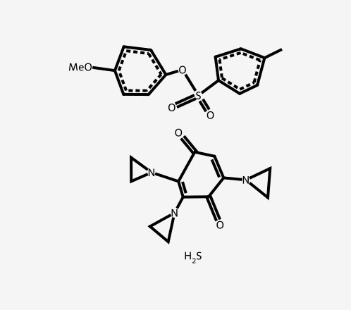 COc1ccc(OS(=O)(=O)c2ccc(C)cc2)cc1.O=C1C=C(N2CC2)C(=O)C(N2CC2)=C1N1CC1.S